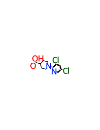 O=C(O)C1CCN(c2ncc(Cl)cc2Cl)CC1